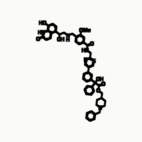 COc1cc(C(=O)NCc2ncc(-c3cccc(C(O)(C(=O)OCC4CCN(Cc5ccccc5)CC4)c4ccccc4)c3)cn2)ccc1CNCC(O)c1ccc(O)c2[nH]c(=O)ccc12